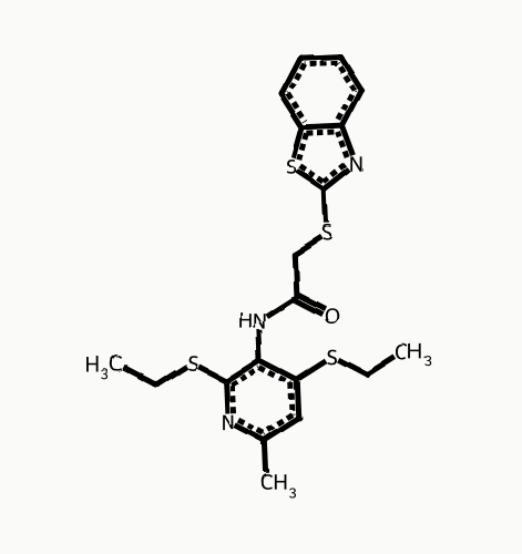 CCSc1cc(C)nc(SCC)c1NC(=O)CSc1nc2ccccc2s1